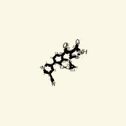 COc1c(-c2cncc(C#N)c2)ccc2c(=O)c3c(=O)[nH]sc3n(C3CC3)c12